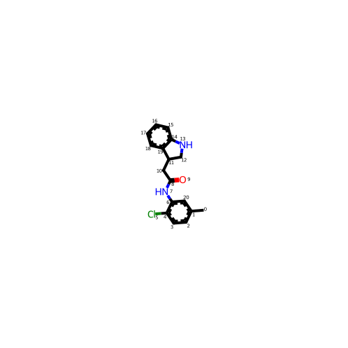 Cc1ccc(Cl)c(NC(=O)CC2CNc3ccccc32)c1